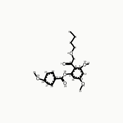 CCCCOCC(=O)c1c(OC)cc(OC)cc1OC(=O)c1ccc(OC)cc1